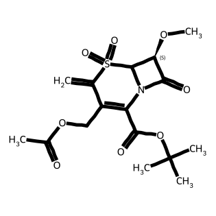 C=C1C(COC(C)=O)=C(C(=O)OC(C)(C)C)N2C(=O)[C@H](OC)C2S1(=O)=O